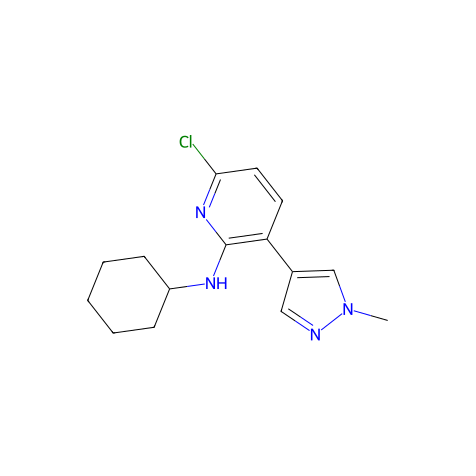 Cn1cc(-c2ccc(Cl)nc2NC2CCCCC2)cn1